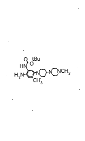 Cc1cc(N)c(NC(=O)OC(C)(C)C)cc1N1CCC(N2CCN(C)CC2)CC1